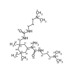 CN(C)CCCNC(=O)NCC1(C)CC(N(P)C(=O)NCCCN(C)C)CC(C)(C)C1